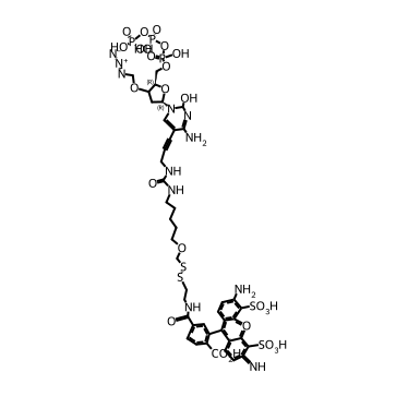 [N-]=[N+]=NCOC1C[C@H](N2C=C(C#CCNC(=O)NCCCCCOCSSCCNC(=O)c3ccc(C(=O)O)c(-c4c5ccc(=N)c(S(=O)(=O)O)c-5oc5c(S(=O)(=O)O)c(N)ccc45)c3)C(N)=NC2O)O[C@@H]1COP(=O)(O)OP(=O)(O)OP(=O)(O)O